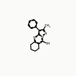 Cc1nn2c(S)c3c(nc2c1-c1ccccc1)CCCC3